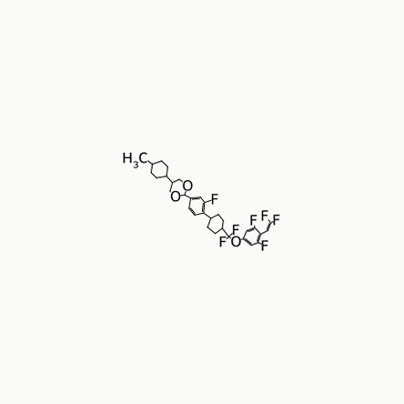 CC1CCC(C2COC(c3ccc(C4CCC(C(F)(F)Oc5cc(F)c(C=C(F)F)c(F)c5)CC4)c(F)c3)OC2)CC1